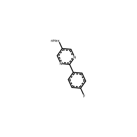 CCCCCCc1cnc(-c2ccc(F)cc2)nc1